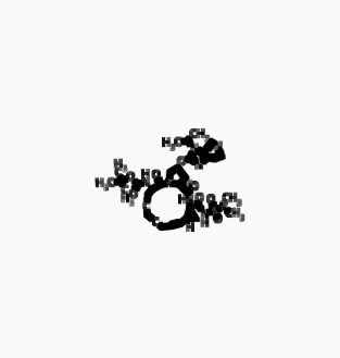 CC(C)n1c(O[C@@H]2C[C@H]3C(=O)N[C@]4(C(=O)NS(=O)(=O)N(C)C)C[C@H]4/C=C\CCCCC[C@H](NC(=O)OC(C)(C)C)C(=O)N3C2)nc2ccncc21